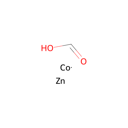 O=CO.[Co].[Zn]